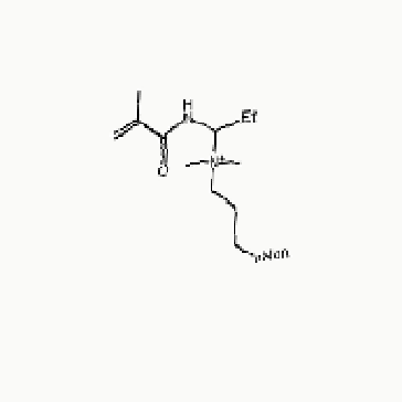 C=C(C)C(=O)NC(CC)[N+](C)(C)CCCCCCCCCCCC